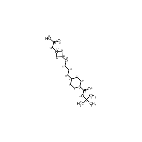 CC(C)(C)OC(=O)N1CCC(CCCOC2CN(CC(=O)O)C2)CC1